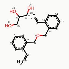 C=Cc1ccccc1COCc1ccccc1C=C.OCC(O)CO